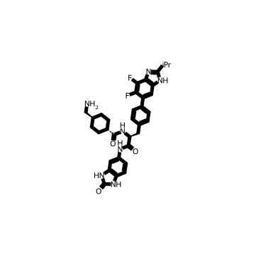 CC(C)c1nc2c(F)c(F)c(-c3ccc(C[C@H](NC(=O)[C@H]4CC[C@H](CN)CC4)C(=O)Nc4ccc5[nH]c(=O)[nH]c5c4)cc3)cc2[nH]1